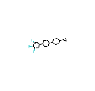 Fc1cc(C2CCC(C3CCC(C4CC4)CC3)CC2)cc(F)c1F